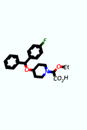 CCOC(C(=O)O)N1CCC(OC(c2ccccc2)c2ccc(F)cc2)CC1